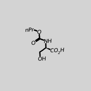 CCCOC(=O)N[C@H](CO)C(=O)O